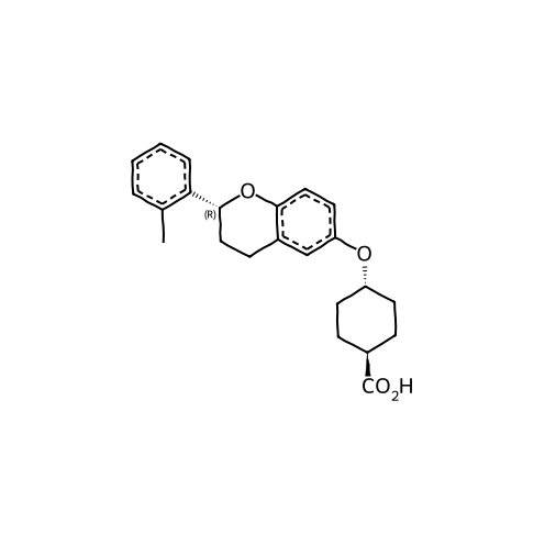 Cc1ccccc1[C@H]1CCc2cc(O[C@H]3CC[C@H](C(=O)O)CC3)ccc2O1